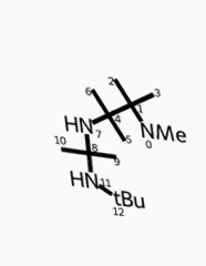 CNC(C)(C)C(C)(C)NC(C)(C)NC(C)(C)C